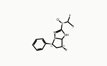 [O-][S+](C1=NN2C(N1)[C@@H](F)C[C@H]2c1ccccc1)C(F)F